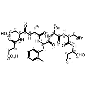 Cc1ccccc1C[C@H](NC(=O)[C@H](NC(=O)[C@H](CC(=O)O)NC(=O)CCC(=O)O)C(C)C)C(=O)N[C@H](C(=O)N[C@@H](CC(C)C)C(=O)NC(C=O)CC(F)(F)F)C(C)(C)C